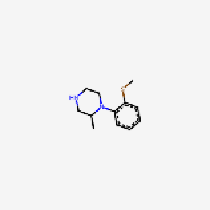 CSc1ccccc1N1CCNCC1C